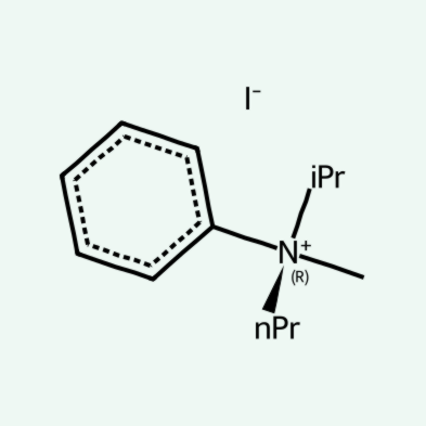 CCC[N@@+](C)(c1ccccc1)C(C)C.[I-]